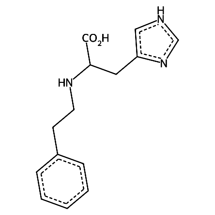 O=C(O)C(Cc1c[nH]cn1)NCCc1ccccc1